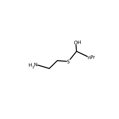 CCCC(O)SCCN